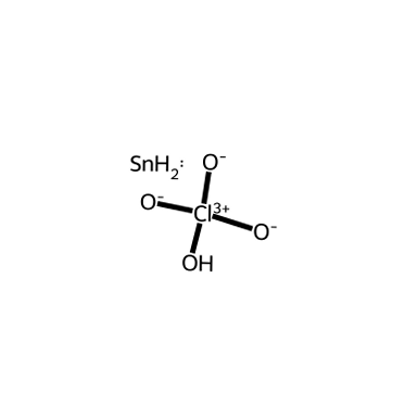 [O-][Cl+3]([O-])([O-])O.[SnH2]